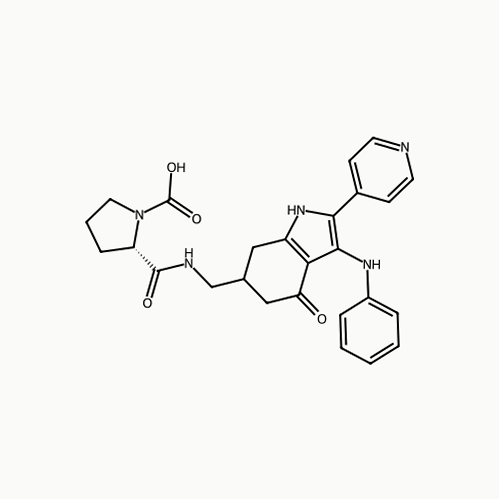 O=C1CC(CNC(=O)[C@@H]2CCCN2C(=O)O)Cc2[nH]c(-c3ccncc3)c(Nc3ccccc3)c21